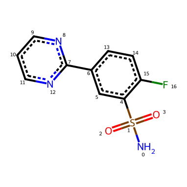 NS(=O)(=O)c1cc(-c2ncccn2)ccc1F